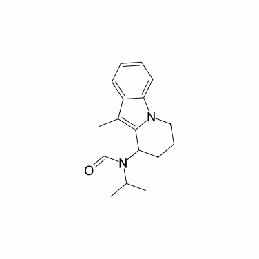 Cc1c2n(c3ccccc13)CCCC2N(C=O)C(C)C